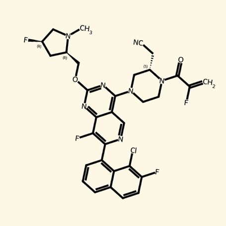 C=C(F)C(=O)N1CCN(c2nc(OC[C@H]3C[C@@H](F)CN3C)nc3c(F)c(-c4cccc5ccc(F)c(Cl)c45)ncc23)C[C@@H]1CC#N